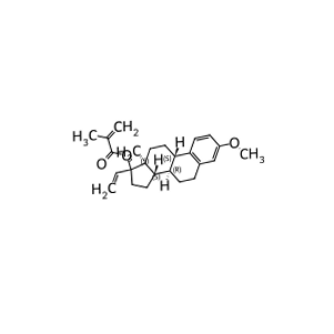 C=CC1(OC(=O)C(=C)C)CC[C@H]2[C@@H]3CCc4cc(OC)ccc4[C@H]3CC[C@@]21C